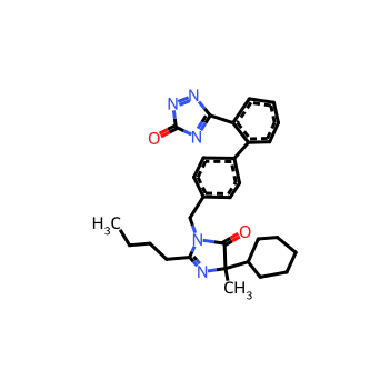 CCCCC1=NC(C)(C2CCCCC2)C(=O)N1Cc1ccc(-c2ccccc2C2=NC(=O)N=N2)cc1